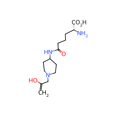 C=C(O)CN1CCC(NC(=O)CCC[C@@H](N)C(=O)O)CC1